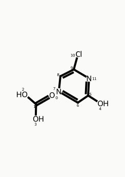 O=C(O)O.Oc1cncc(Cl)n1